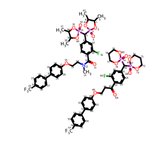 CC1OP(=O)(C(c2ccc(C(=O)N(C)CCOc3ccc(-c4ccc(C(F)(F)F)cc4)cc3)c(F)c2)P2(=O)OC(C)C(C)O2)OC1C.O=C(CCOc1ccc(-c2ccc(C(F)(F)F)cc2)cc1)c1ccc(C(P2(=O)OCCCO2)P2(=O)OCCCO2)cc1F